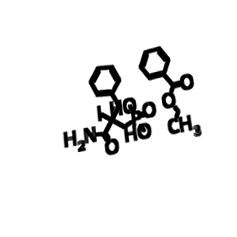 CCOC(=O)c1ccccc1.NC(=O)C(I)(Cc1ccccc1)CP(=O)(O)O